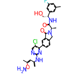 C=C(/C=C(/C)ON)Nc1ncc(Cl)c(-c2ccc3c(c2)C(=O)N([C@H](C)C(=O)N[C@H](CO)c2cc(C)cc(F)c2)C3)n1